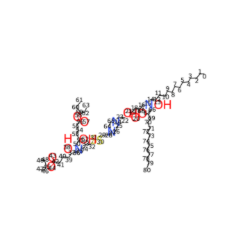 CCCCCCCCCCCCC(O)CN(CCCC(=O)OCCN1CCN(CCSSCCCN(CC(O)CCCC(=O)OC(CC)CC)CC(O)CCCC(=O)OC(CC)CC)CC1)CC(O)CCCCCCCCCCCC